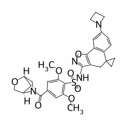 COc1cc(C(=O)N2C[C@H]3C[C@@H]2CO3)cc(OC)c1S(=O)(=O)Nc1noc2c1CC1(CC1)c1ccc(N3CCC3)cc1-2